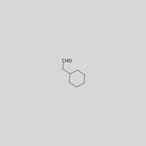 O=C[CH]C1CCCCC1